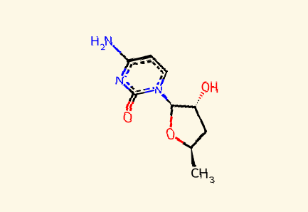 C[C@@H]1C[C@@H](O)[C@H](n2ccc(N)nc2=O)O1